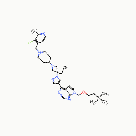 C[Si](C)(C)CCOCn1ccc2c(-c3cnn(C4(CC#N)CN(C5CCN(Cc6ccnc(C(F)(F)F)c6F)CC5)C4)c3)ncnc21